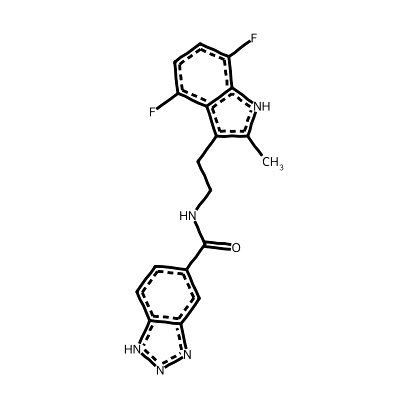 Cc1[nH]c2c(F)ccc(F)c2c1CCNC(=O)c1ccc2[nH]nnc2c1